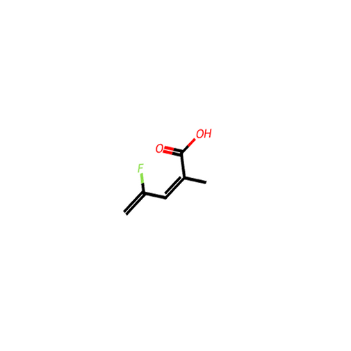 C=C(F)C=C(C)C(=O)O